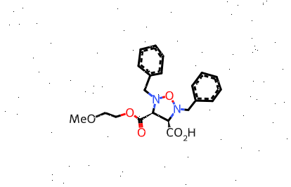 COCCOC(=O)[C@@H]1[C@H](C(=O)O)N(Cc2ccccc2)ON1Cc1ccccc1